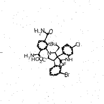 CC(C)(C)C[C@@H]1N(c2cc(C(N)=O)ccc2C(N)=O)[C@@H](C(=O)O)[C@H](c2cccc(Br)c2F)C12C(=O)Nc1cc(Cl)ccc12